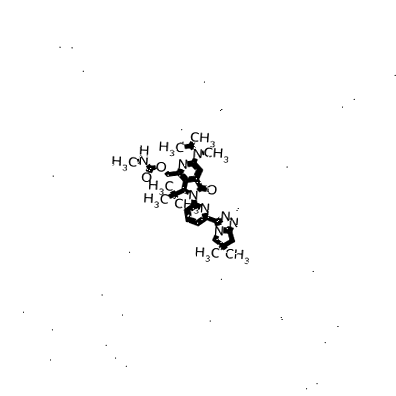 CNC(=O)OCc1nc(N(C)C(C)C)cc2c1C(C(C)(C)C)N(c1cccc(-c3nnc4n3CC(C)(C)C4)n1)C2=O